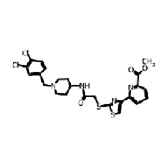 COC(=O)c1cccc(-c2csc(SCC(=O)NC3CCN(Cc4ccc(Cl)c(Cl)c4)CC3)n2)n1